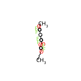 CCCCCCOc1ccc(OC(=O)c2ccc(C3=CCC(c4ccc(OCC)c(F)c4F)CC3)c(F)c2F)c(F)c1F